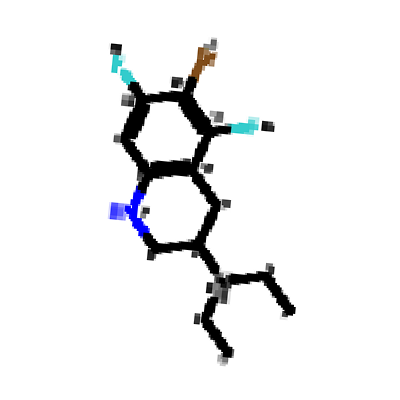 CC[SiH](CC)C1CNc2cc(F)c(Br)c(F)c2C1